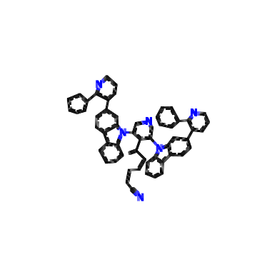 C=C(/C=C\C=C/C#N)c1c(-n2c3ccccc3c3ccc(-c4cccnc4-c4ccccc4)cc32)cncc1-n1c2ccccc2c2ccc(-c3cccnc3-c3ccccc3)cc21